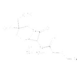 CON(C(=O)CSCC#N)C1C(=O)N2CC(COC(C)=O)(C(=O)[O-])CS[C@H]12.[Na+]